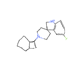 Fc1ccc2c(c1)C1(CCN(C3CC4CCCCC43)CC1)CN2